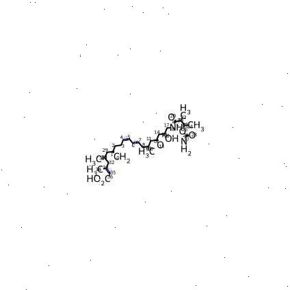 C=C(CC/C=C\C=C\C[C@H](C)CC(=O)C[C@@H](O)CNC(=O)[C@H](C)[C@@H](C)OC(N)=O)C[C@@H](C)C/C(C)=C/C(=O)O